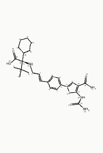 CC(C)(C)[C@](NC/C=C/c1ccc(-c2cc(C(N)=O)c(NC(N)=O)s2)cc1)(C(=O)O)C1CCCCC1